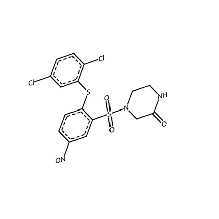 O=Nc1ccc(Sc2cc(Cl)ccc2Cl)c(S(=O)(=O)N2CCNC(=O)C2)c1